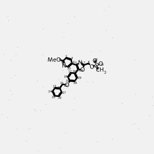 COc1ccc(-c2nc(COS(C)(=O)=O)oc2-c2ccc(OCc3ccccc3)cc2)cn1